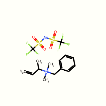 C=CC(C)[N+](C)(C)Cc1ccccc1.O=S(=O)([N-]S(=O)(=O)C(F)(F)F)C(F)(F)F